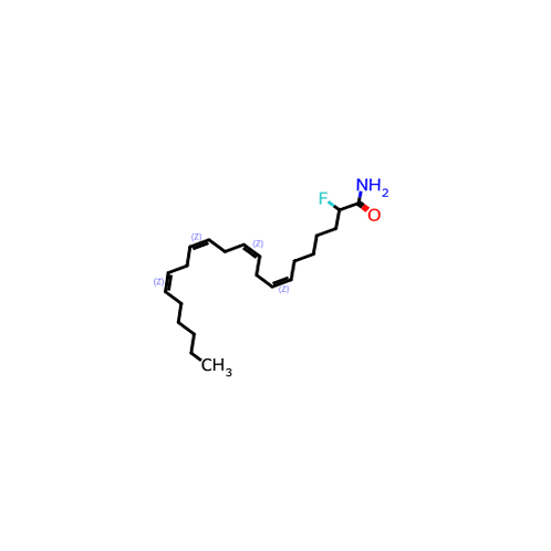 CCCCC/C=C\C/C=C\C/C=C\C/C=C\CCCCC(F)C(N)=O